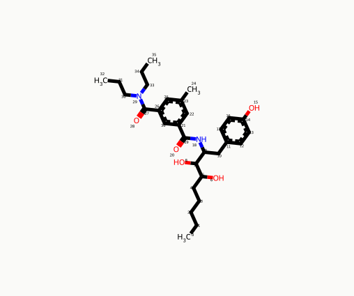 CCCCCC(O)C(O)C(Cc1ccc(O)cc1)NC(=O)c1cc(C)cc(C(=O)N(CCC)CCC)c1